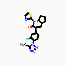 Cc1nnnn1-c1ccc(C(=CC2CCCC2)C(=O)Nc2nccs2)cc1F